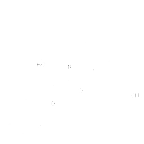 Cc1ccc(C(c2ccccc2)N(CO)C(=O)COc2ccccc2)cc1